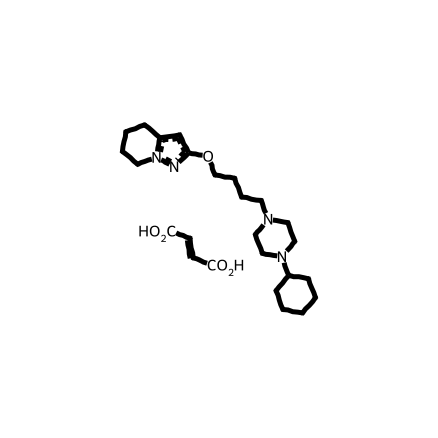 O=C(O)C=CC(=O)O.c1c(OCCCCN2CCN(C3CCCCC3)CC2)nn2c1CCCC2